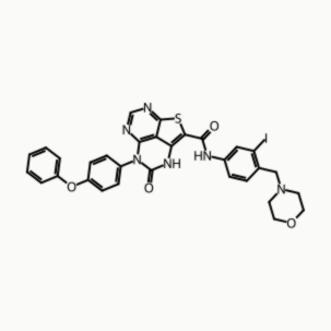 O=C(Nc1ccc(CN2CCOCC2)c(I)c1)c1sc2ncnc3c2c1NC(=O)N3c1ccc(Oc2ccccc2)cc1